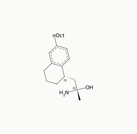 CCCCCCCCc1ccc2c(c1)CCC[C@H]2C[C@@](C)(N)O